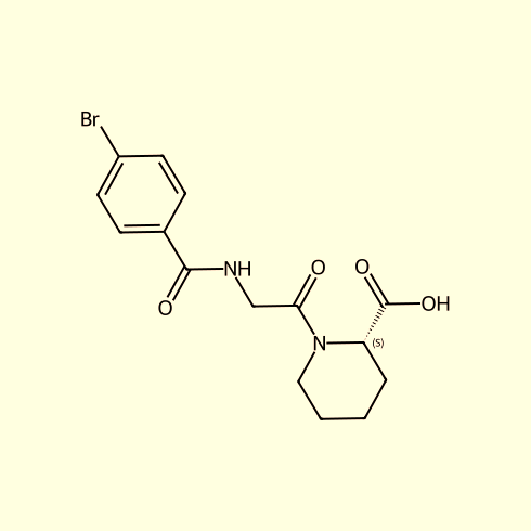 O=C(NCC(=O)N1CCCC[C@H]1C(=O)O)c1ccc(Br)cc1